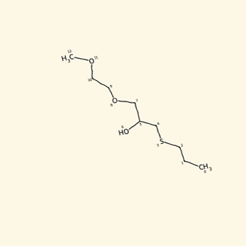 CCCSCC(O)COCCOC